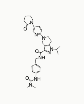 CC(C)n1nc(C(=O)NCc2ccc(NC(=O)N(C)C)cc2)c2c1CCN(c1ccc(N3CCCCC3=O)cn1)C2